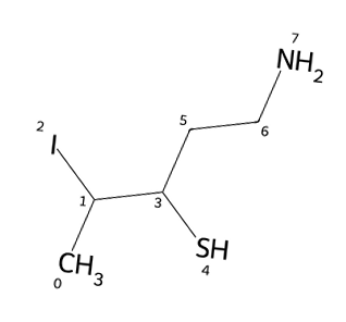 CC(I)C(S)CCN